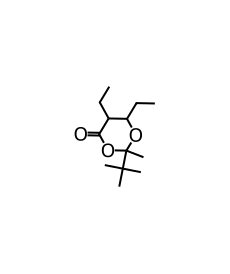 CCC1OC(C)(C(C)(C)C)OC(=O)C1CC